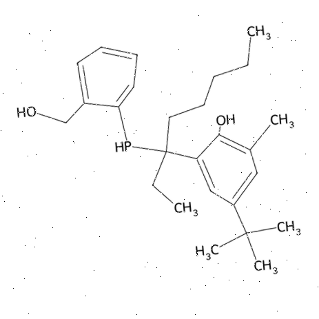 CCCCCC(CC)(Pc1ccccc1CO)c1cc(C(C)(C)C)cc(C)c1O